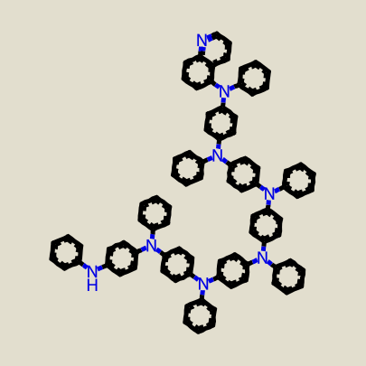 c1ccc(Nc2ccc(N(c3ccccc3)c3ccc(N(c4ccccc4)c4ccc(N(c5ccccc5)c5ccc(N(c6ccccc6)c6ccc(N(c7ccccc7)c7ccc(N(c8ccccc8)c8cccc9ncccc89)cc7)cc6)cc5)cc4)cc3)cc2)cc1